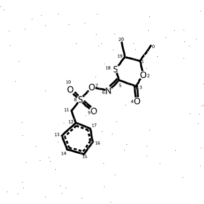 CC1OC(=O)/C(=N/OS(=O)(=O)Cc2ccccc2)SC1C